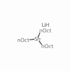 CCCCCCC[CH2][Sn]([CH2]CCCCCCC)[CH2]CCCCCCC.[LiH]